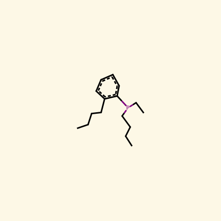 CCCCc1ccccc1P(CC)CCCC